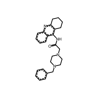 O=C(CN1CCN(Cc2ccccc2)CC1)Nc1c2c(nc3ccccc13)CCCC2